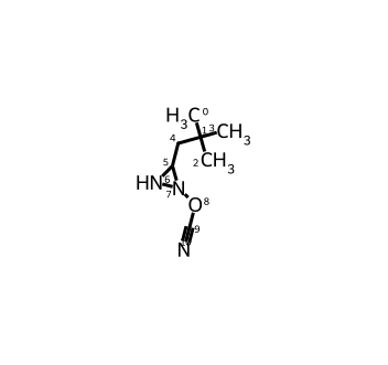 CC(C)(C)CC1NN1OC#N